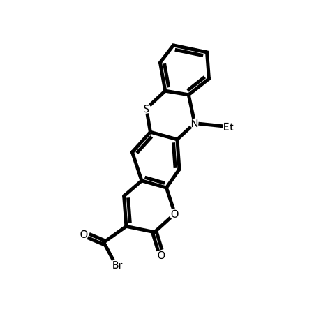 CCN1c2ccccc2Sc2cc3cc(C(=O)Br)c(=O)oc3cc21